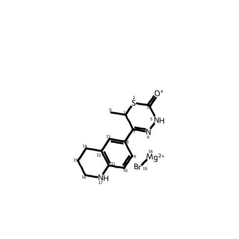 CC1SC(=O)NN=C1c1ccc2c(c1)CCCN2.[Mg+2][Br]